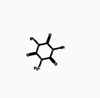 CC(C)n1c(=O)n(C)c(=O)n(C(C)C)c1=O